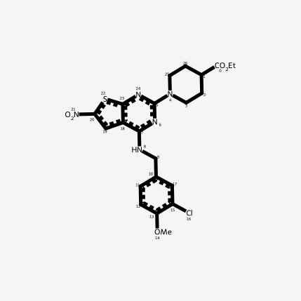 CCOC(=O)C1CCN(c2nc(NCc3ccc(OC)c(Cl)c3)c3cc([N+](=O)[O-])sc3n2)CC1